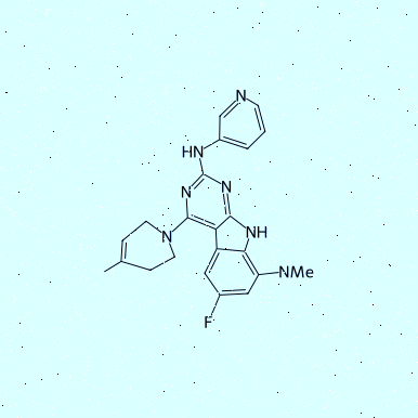 CNc1cc(F)cc2c1[nH]c1nc(Nc3cccnc3)nc(N3CC=C(C)CC3)c12